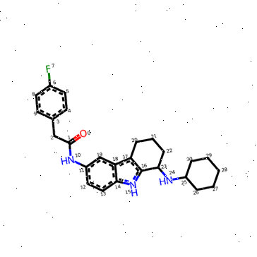 O=C(Cc1ccc(F)cc1)Nc1ccc2[nH]c3c(c2c1)CCCC3NC1CCCCC1